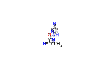 Cc1cc(C#N)cc(C(=O)Nc2ccc(C#N)cn2)n1